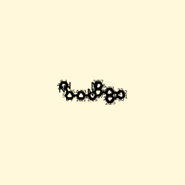 c1cnc(-c2cccc(-c3ccc(-c4ccc5cc(-c6ccc7c8c(cccc68)-c6ccccc6-7)c6cccnc6c5n4)cc3)c2)nc1